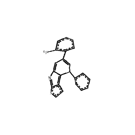 O=[N+]([O-])c1ccccc1C1=CC(c2ccccc2)C2=c3ccsc3=NC2=C1